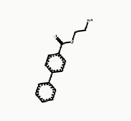 NCCOC(=O)c1ccc(-c2ccccc2)cc1